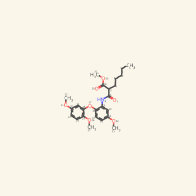 CCCCCC(C(=O)Nc1cc(OC)ccc1Oc1cc(OC)ccc1OC)C(=O)OC